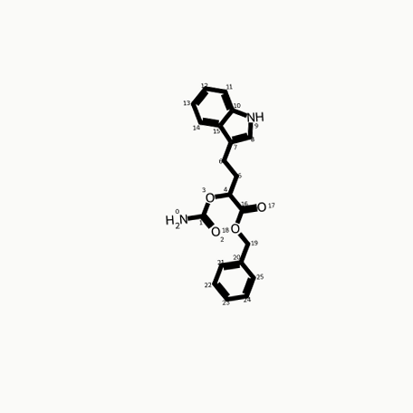 NC(=O)OC(CCc1c[nH]c2ccccc12)C(=O)OCc1ccccc1